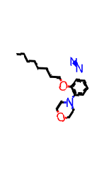 CCCCCCCCOc1ccccc1N1CCOCC1.N#N